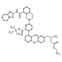 CCOC(=O)CC(C)Cc1ccc(Oc2cccc(-c3ccc(N4CCc5cccc(C(=O)Nc6nc7ccccc7s6)c5C4)nc3C(=O)OC(C)(C)C)c2C)cc1